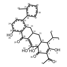 CC(=O)C1=C(O)C(C(C)C)C2CC3Cc4c(-c5ccccc5C)ccc(O)c4C(=O)C3=C(O)C2(O)C1=O